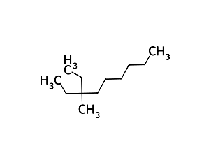 CCCCCCC(C)(CC)CC